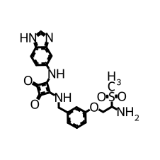 CS(=O)(=O)C(N)COc1cccc(CNc2c(Nc3ccc4[nH]cnc4c3)c(=O)c2=O)c1